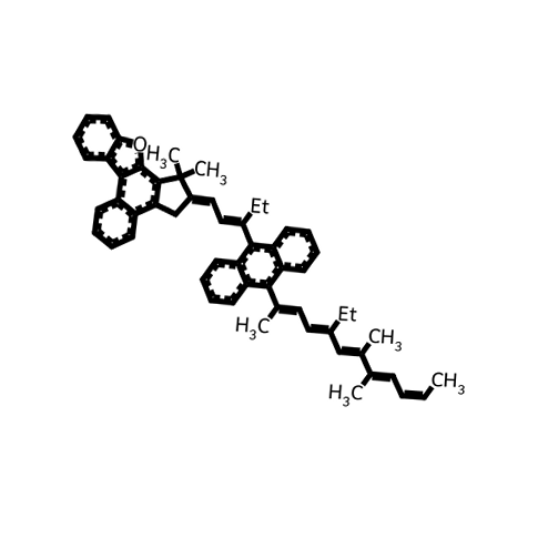 C\C=C/C=C(C)/C(C)=C/C(=C/C=C(\C)c1c2ccccc2c(/C(=C/C=C2\Cc3c(c4oc5ccccc5c4c4ccccc34)C2(C)C)CC)c2ccccc12)CC